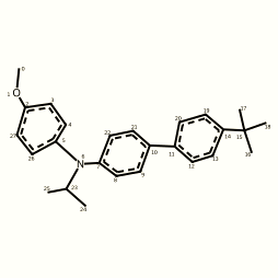 COc1ccc(N(c2ccc(-c3ccc(C(C)(C)C)cc3)cc2)C(C)C)cc1